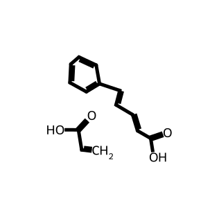 C=CC(=O)O.O=C(O)C=CC=Cc1ccccc1